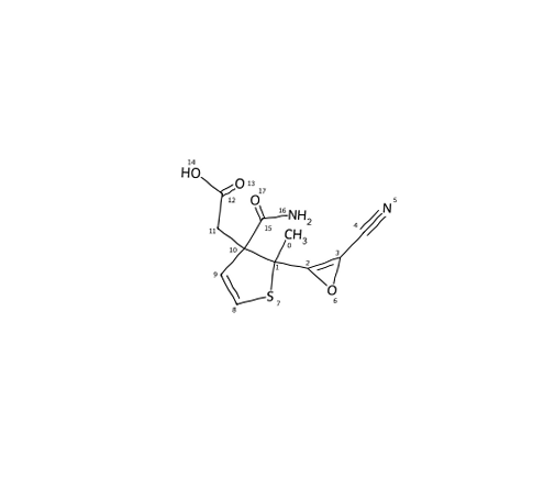 CC1(C2=C(C#N)O2)SC=CC1(CC(=O)O)C(N)=O